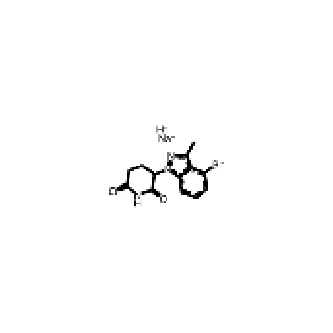 Cc1nn(C2CCC(=O)NC2=O)c2cccc(Br)c12.[H-].[Na+]